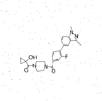 Cc1nn(C)c2ccc(-c3ccc(C(=O)N4CCN(C(=O)C5(O)CC5)CC4)cc3F)cc12